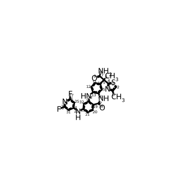 Cc1csc(C(C)(C(N)=O)c2ccc3c(c2)NC(=O)c2ccc(Nc4cc(F)nc(F)c4)cc2N3)n1